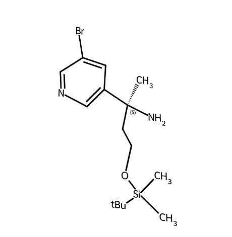 CC(C)(C)[Si](C)(C)OCC[C@](C)(N)c1cncc(Br)c1